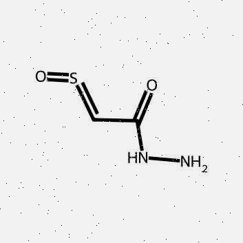 NNC(=O)C=S=O